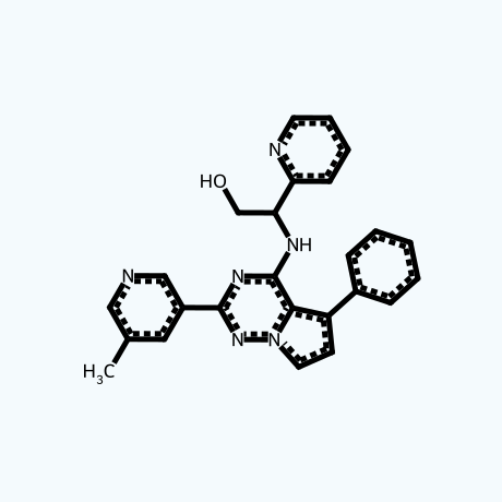 Cc1cncc(-c2nc(NC(CO)c3ccccn3)c3c(-c4ccccc4)ccn3n2)c1